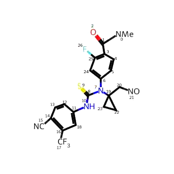 CNC(=O)c1ccc(N(C(=S)Nc2ccc(C#N)c(C(F)(F)F)c2)C2(CN=O)CC2)cc1F